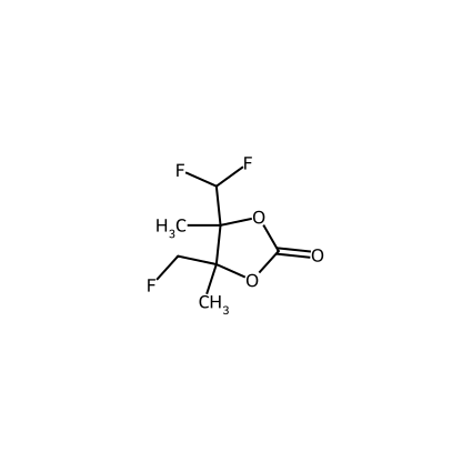 CC1(CF)OC(=O)OC1(C)C(F)F